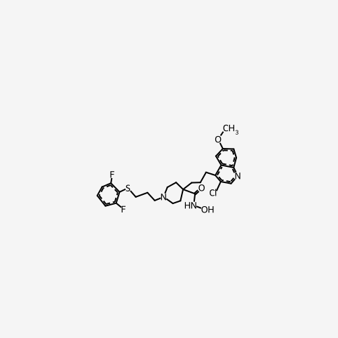 COc1ccc2ncc(Cl)c(CCCC3(C(=O)NO)CCN(CCCSc4c(F)cccc4F)CC3)c2c1